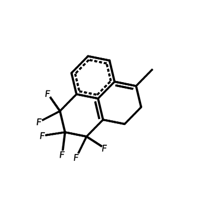 CC1=c2cccc3c2=C(CC1)C(F)(F)C(F)(F)C3(F)F